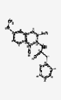 CCCc1nc2cc(OC(F)(F)F)ccc2c(=O)n1NC(=O)Cc1ccncc1